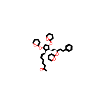 CC(=O)CCC/C=C\C[C@@H]1[C@@H](CC[C@H](CCc2ccccc2)OC2CCCCO2)[C@H](OC2CCCCO2)C[C@@H]1OC1CCCCO1